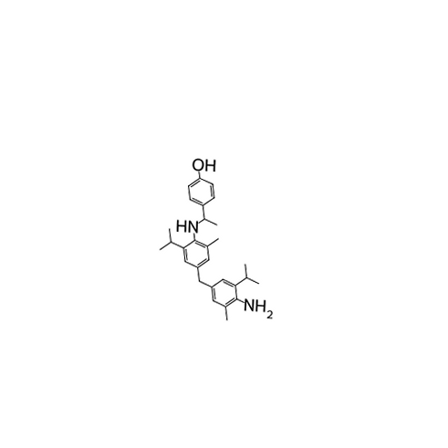 Cc1cc(Cc2cc(C)c(NC(C)c3ccc(O)cc3)c(C(C)C)c2)cc(C(C)C)c1N